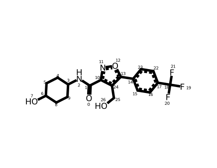 O=C(NC1CCC(O)CC1)c1noc(-c2ccc(C(F)(F)F)cc2)c1CO